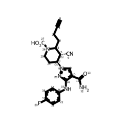 C#CCCC1[C@H](C#N)[C@@H](n2cc(C(N)=O)c(Nc3ccc(F)cc3)n2)CCN1C(=O)O